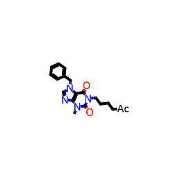 CC(=O)CCCCn1c(=O)c2c(ncn2Cc2ccccc2)n(C)c1=O